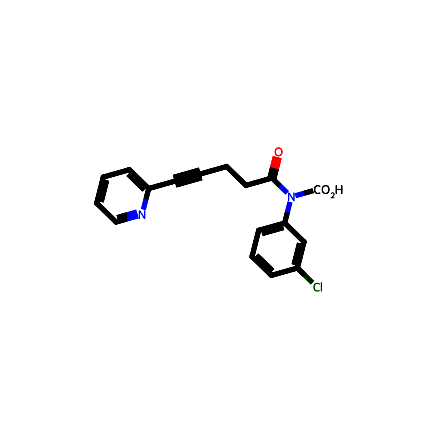 O=C(O)N(C(=O)CCC#Cc1ccccn1)c1cccc(Cl)c1